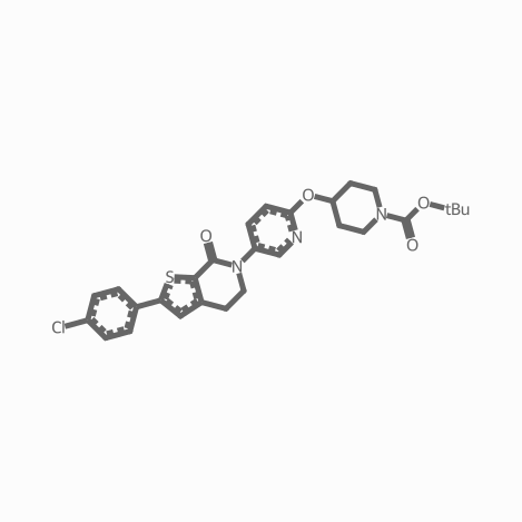 CC(C)(C)OC(=O)N1CCC(Oc2ccc(N3CCc4cc(-c5ccc(Cl)cc5)sc4C3=O)cn2)CC1